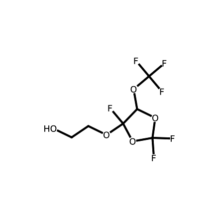 OCCOC1(F)OC(F)(F)OC1OC(F)(F)F